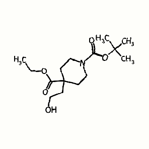 CCOC(=O)C1(CCO)CCN(C(=O)OC(C)(C)C)CC1